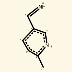 Cc1ccc(C=N)cn1